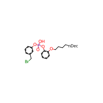 CCCCCCCCCCCCCCOc1ccccc1OP(=O)(O)Oc1cccc(CBr)c1